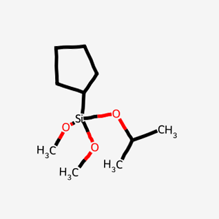 CO[Si](OC)(OC(C)C)C1CCCC1